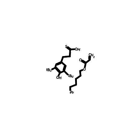 C=CC(=O)OCCCCCC(C)C.CC(C)(C)c1cc(CCC(O)=S)cc(C(C)(C)C)c1O